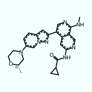 CNc1ncc(-c2cc3ccc(N4CCO[C@@H](C)C4)cn3n2)c2cc(NC(=O)C3CC3)ncc12